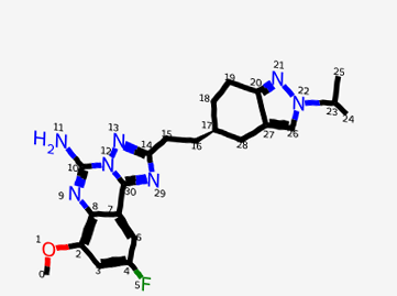 COc1cc(F)cc2c1nc(N)n1nc(CC[C@H]3CCc4nn(C(C)C)cc4C3)nc21